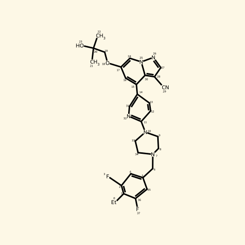 CCc1c(F)cc(CN2CCN(c3ccc(-c4cc(OCC(C)(C)O)cn5ncc(C#N)c45)cn3)CC2)cc1F